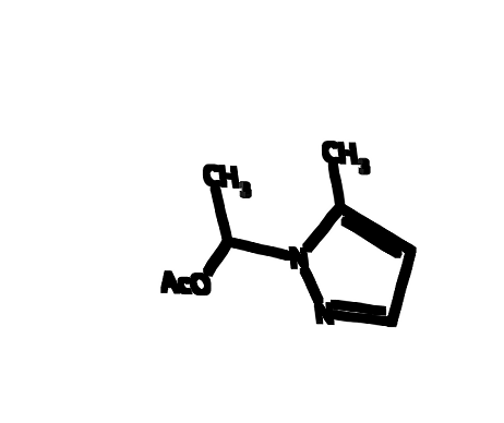 CC(=O)OC(C)n1nccc1C